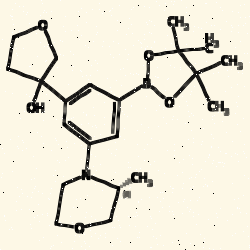 C[C@@H]1COCCN1c1cc(B2OC(C)(C)C(C)(C)O2)cc(C2(O)CCOC2)c1